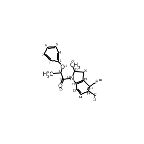 CC(Oc1ccccc1)C(=O)N1c2ccc(F)c(F)c2CC1C